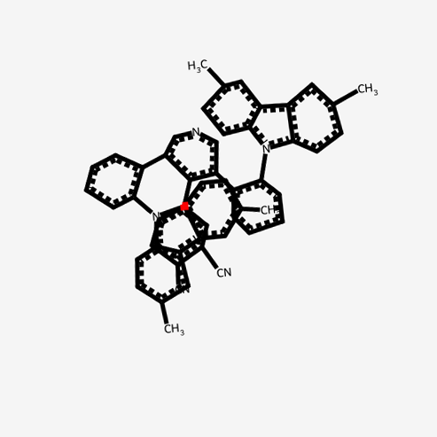 Cc1ccc2c(c1)c1cc(C)ccc1n2-c1ccccc1-c1cncc(-c2ccccc2-n2c3ccc(C)cc3c3cc(C)ccc32)c1-c1ccc(C#N)c(C#N)c1